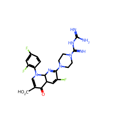 N=C(N)NC(=N)N1CCN(C2=NC3C(C=C2F)C(=O)C(C(=O)O)=CN3c2ccc(F)cc2F)CC1